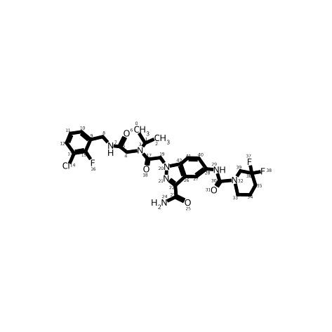 CC(C)N(CC(=O)NCc1cccc(Cl)c1F)C(=O)Cn1nc(C(N)=O)c2cc(NC(=O)N3CCCC(F)(F)C3)ccc21